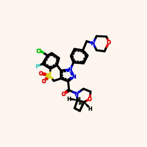 O=C(c1nn(-c2ccc(CN3CCOCC3)cc2)c2c1CS(=O)(=O)c1c-2ccc(Cl)c1F)N1CCO[C@@H]2CC[C@@H]21